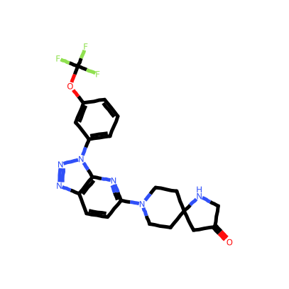 O=C1CNC2(CCN(c3ccc4nnn(-c5cccc(OC(F)(F)F)c5)c4n3)CC2)C1